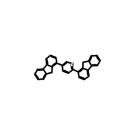 c1ccc2c(c1)Cc1c(-c3ccc(-c4cccc5c4Cc4ccccc4-5)nc3)cccc1-2